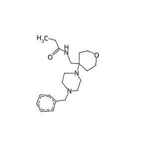 CCC(=O)NCC1(N2CCN(Cc3ccccc3)CC2)CCOCC1